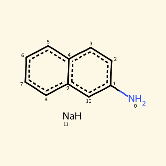 Nc1ccc2ccccc2c1.[NaH]